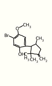 C=C1CC(C)C(c2cc(OC)c(Br)cc2O)C1(C)C